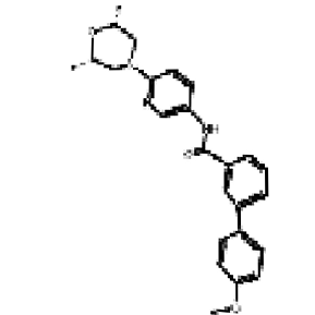 COc1ccc(-c2cccc(C(=O)Nc3ccc(N4C[C@@H](C)O[C@@H](C)C4)nc3)c2)cc1